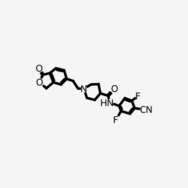 N#Cc1cc(F)c(NC(=O)C2CCN(CCc3ccc4c(c3)COC4=O)CC2)cc1F